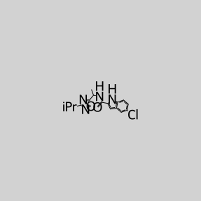 CC(C)c1noc(C(C)NC(=O)c2cc3cc(Cl)ccc3[nH]2)n1